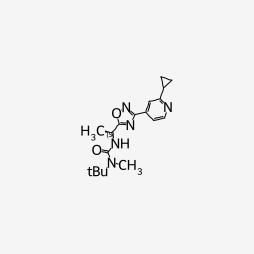 C[C@H](NC(=O)N(C)C(C)(C)C)c1nc(-c2ccnc(C3CC3)c2)no1